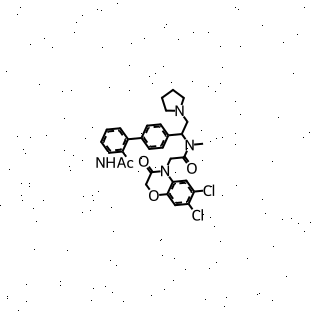 CC(=O)Nc1ccccc1-c1ccc(C(CN2CCCC2)N(C)C(=O)CN2C(=O)COc3cc(Cl)c(Cl)cc32)cc1